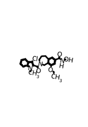 CCOc1cc(C(=O)NO)cc2c1CN(C(=O)c1c(Cl)c3ccccc3n1C)CCC2